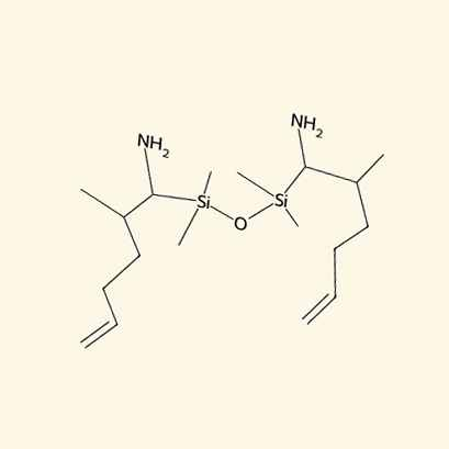 C=CCCC(C)C(N)[Si](C)(C)O[Si](C)(C)C(N)C(C)CCC=C